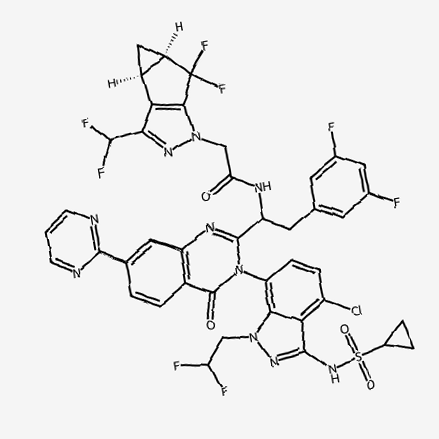 O=C(Cn1nc(C(F)F)c2c1C(F)(F)[C@@H]1C[C@H]21)NC(Cc1cc(F)cc(F)c1)c1nc2cc(-c3ncccn3)ccc2c(=O)n1-c1ccc(Cl)c2c(NS(=O)(=O)C3CC3)nn(CC(F)F)c12